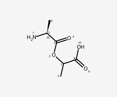 CC(OC(=O)[C@H](C)N)C(=O)O